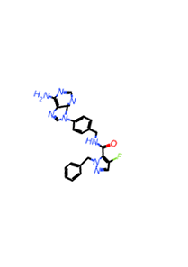 Nc1ncnc2c1ncn2-c1ccc(CNC(=O)c2c(F)cnn2Cc2ccccc2)cc1